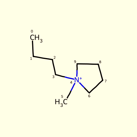 CCCC[N+]1(C)CCCC1